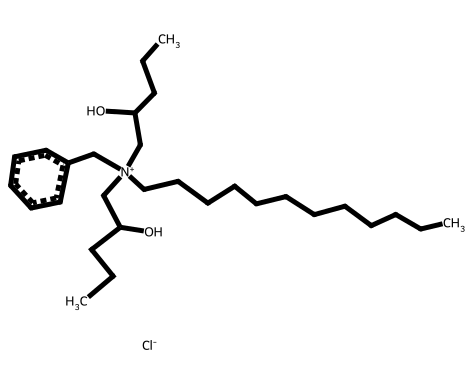 CCCCCCCCCCCC[N+](Cc1ccccc1)(CC(O)CCC)CC(O)CCC.[Cl-]